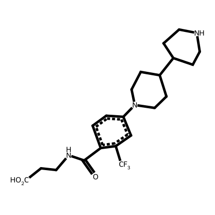 O=C(O)CCNC(=O)c1ccc(N2CCC(C3CCNCC3)CC2)cc1C(F)(F)F